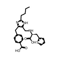 CCCCc1nc(Cc2ccc(C(=O)O)cc2)c(CN[C@@H](Cc2cccs2)C(=O)O)[nH]1